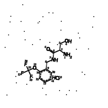 Cl.NC(CO)C(=O)NCc1ccccc1OC(F)(F)F